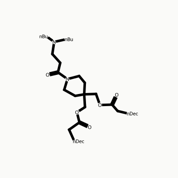 CCCCCCCCCCCC(=O)OCC1(COC(=O)CCCCCCCCCCC)CCN(C(=O)CCN(CCCC)CCCC)CC1